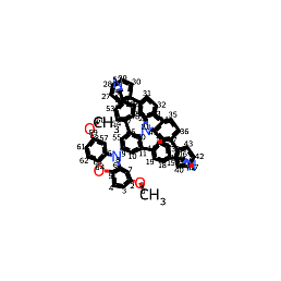 COc1ccc2c(c1)N(c1cc(-c3ccc(C#N)cc3)c(-n3c4cc(-c5ccccc5)ccc4c4ccc(-c5ccccc5)cc43)c(-c3ccc(C#N)cc3)c1)c1cc(OC)ccc1O2